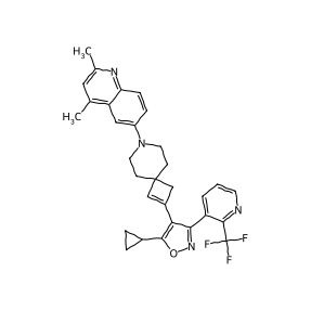 Cc1cc(C)c2cc(N3CCC4(C=C(c5c(-c6cccnc6C(F)(F)F)noc5C5CC5)C4)CC3)ccc2n1